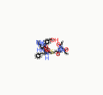 C=CC(=O)N1CN(C(=O)C=C)CN(C(=O)CCSCC(=O)N[C@@H](CCc2ccccc2)C(=O)N[C@@H](CCCN)C(=O)Nc2ccc(CO)cc2)C1